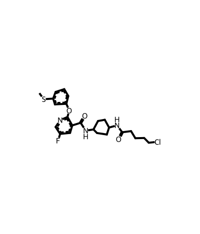 CSc1cccc(Oc2ncc(F)cc2C(=O)NC2CCC(NC(=O)CCCCCl)CC2)c1